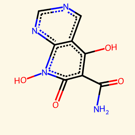 NC(=O)c1c(O)c2cncnc2n(O)c1=O